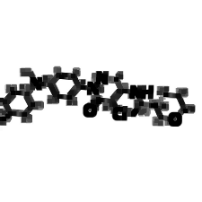 C[C@@H](Nc1cnn(-c2ccc(N(C)c3ccc(F)cc3)cc2)c(=O)c1Cl)[C@@H]1CCCOC1